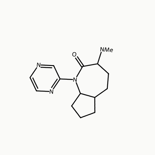 CNC1CCC2CCCC2N(c2cnccn2)C1=O